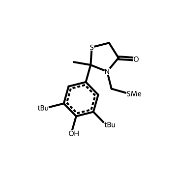 CSCN1C(=O)CSC1(C)c1cc(C(C)(C)C)c(O)c(C(C)(C)C)c1